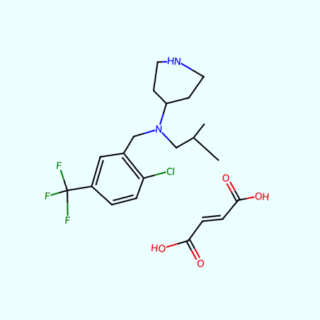 CC(C)CN(Cc1cc(C(F)(F)F)ccc1Cl)C1CCNCC1.O=C(O)/C=C/C(=O)O